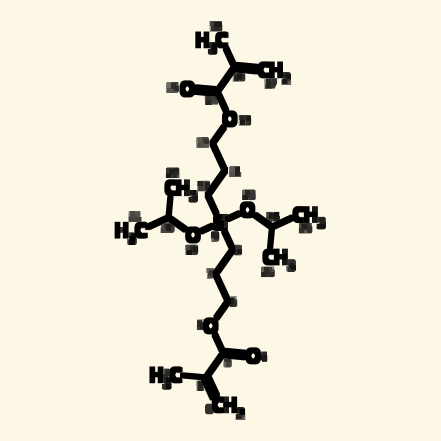 C=C(C)C(=O)OCCC[Si](CCCOC(=O)C(=C)C)(OC(C)C)OC(C)C